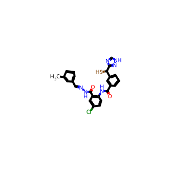 Cc1cccc(/C=N/NC(=O)c2cc(Cl)ccc2NC(=O)c2cccc(C(S)c3nc[nH]n3)c2)c1